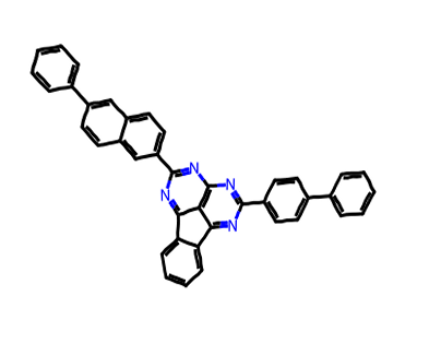 c1ccc(-c2ccc(-c3nc4c5c(nc(-c6ccc7cc(-c8ccccc8)ccc7c6)nc5n3)-c3ccccc3-4)cc2)cc1